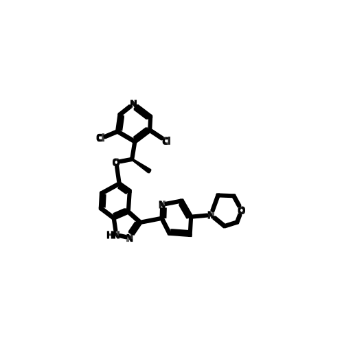 C[C@@H](Oc1ccc2[nH]nc(-c3ccc(N4CCOCC4)cn3)c2c1)c1c(Cl)cncc1Cl